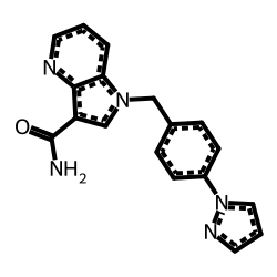 NC(=O)c1cn(Cc2ccc(-n3cccn3)cc2)c2cccnc12